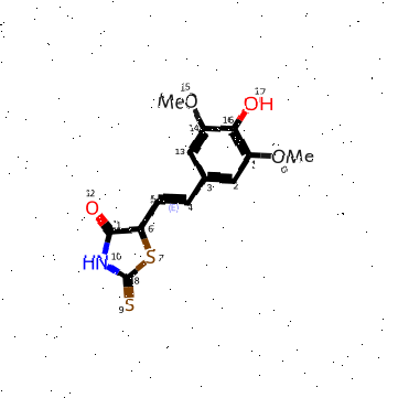 COc1cc(/C=C/C2SC(=S)NC2=O)cc(OC)c1O